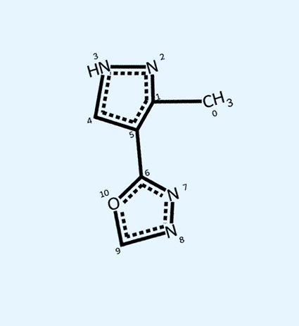 Cc1n[nH]cc1-c1nnco1